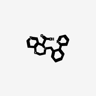 O=C(O)C1c2cnccc2OCCN1Cc1ccccc1-c1ccccn1